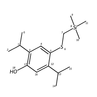 CC(C)c1cc(SC[Si](C)(C)C)c(C(C)C)cc1O